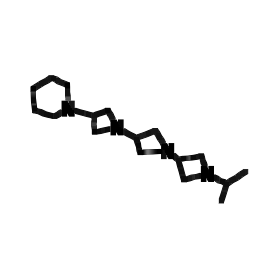 CC(C)N1CC(N2CC(N3CC(N4CCCCC4)C3)C2)C1